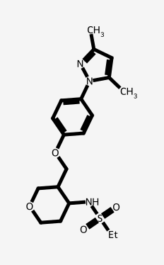 CCS(=O)(=O)NC1CCOCC1COc1ccc(-n2nc(C)cc2C)cc1